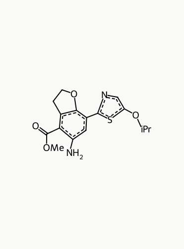 COC(=O)c1c(N)cc(-c2ncc(OC(C)C)s2)c2c1CCO2